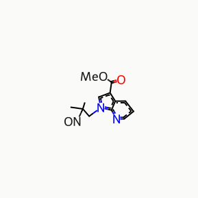 COC(=O)c1cn(CC(C)(C)N=O)c2ncccc12